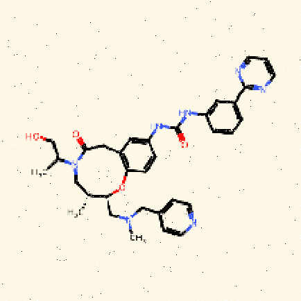 CC(CO)N1C[C@@H](C)[C@H](CN(C)Cc2ccncc2)Oc2ccc(NC(=O)Nc3cccc(-c4ncccn4)c3)cc2CC1=O